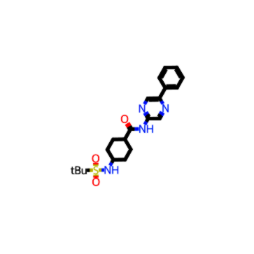 CC(C)(C)S(=O)(=O)NC1CCC(C(=O)Nc2cnc(-c3ccccc3)cn2)CC1